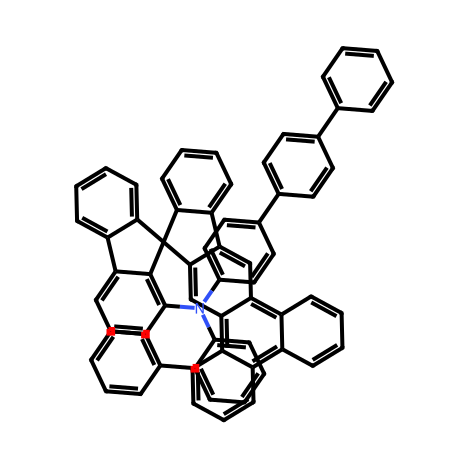 c1ccc(-c2ccc(-c3ccc(N(c4ccccc4-c4ccccc4)c4cccc5c4C4(c6ccccc6-c6cc7c8ccccc8c8ccccc8c7cc64)c4ccccc4-5)cc3)cc2)cc1